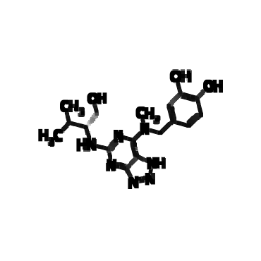 CC(C)[C@H](CO)Nc1nc(N(C)Cc2ccc(O)c(O)c2)c2[nH]nnc2n1